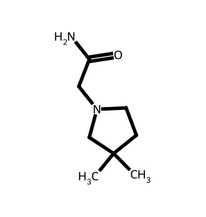 CC1(C)CCN(CC(N)=O)C1